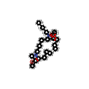 c1ccc(-c2ccc(-c3ccc(N(c4cccc(-c5cccc(-c6ccc7ccccc7c6)c5)c4)c4cc(-c5cccc(-c6ccc(-c7ccc(N(c8cccc(-c9cccc(-c%10cccc%11ccccc%10%11)c9)c8)c8ccccc8-c8cccc9c8oc8ccccc89)cc7)cc6)c5)ccc4-c4cccc5c4oc4ccccc45)cc3)cc2)cc1